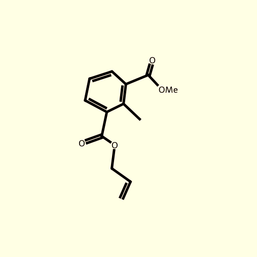 C=CCOC(=O)c1cccc(C(=O)OC)c1C